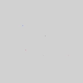 Cc1ccc2c(=O)oc3c(C)c(OC(C)C#N)ccc3c2c1